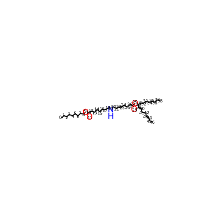 CCCCCCCCCOC(=O)CCCCCCCNCCCCCCCC(=O)OC(CCCCCCCC)CCCCCCCC